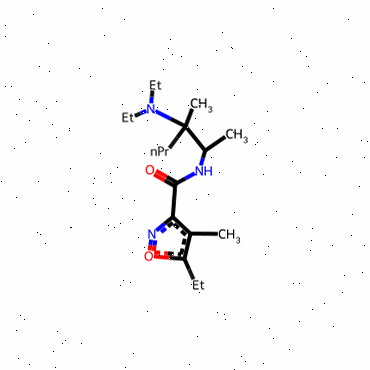 CCCC(C)(C(C)NC(=O)c1noc(CC)c1C)N(CC)CC